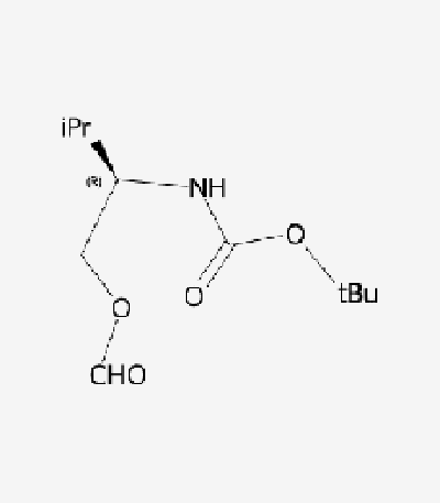 CC(C)[C@H](COC=O)NC(=O)OC(C)(C)C